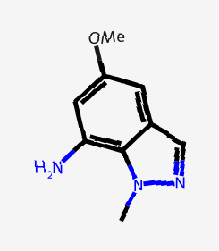 COc1cc(N)c2c(cnn2C)c1